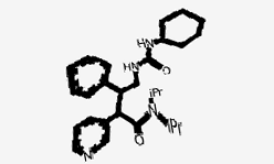 CC(C)N(C(=O)C(c1cccnc1)C(CNC(=O)NC1CCCCC1)c1ccccc1)C(C)C